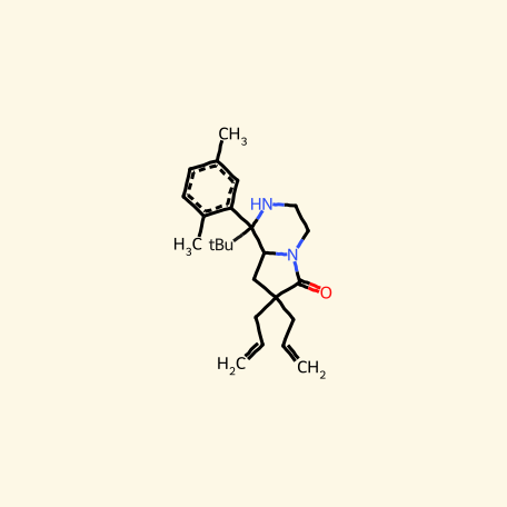 C=CCC1(CC=C)CC2N(CCNC2(c2cc(C)ccc2C)C(C)(C)C)C1=O